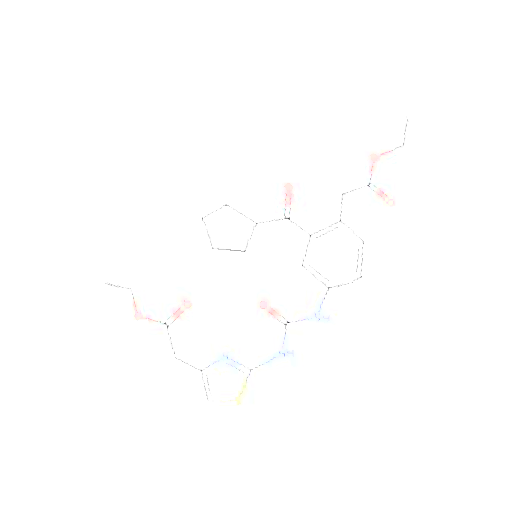 CCOC(=O)Cc1csc(NC(=O)Nc2ccc(CC(=O)OCC)c(C(=O)C3CCCC3)c2)n1